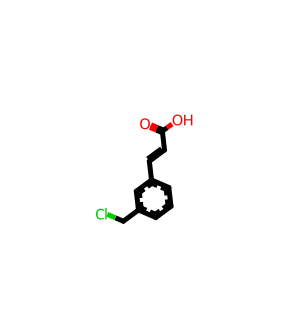 O=C(O)C=Cc1cccc(CCl)c1